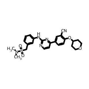 CN(C)S(=O)(=O)Cc1cccc(Nc2nccc(-c3ccc(OC4CCOCC4)c(C#N)c3)n2)c1